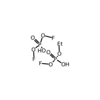 CCOP(=O)(O)OF.O=P(O)(OF)OF